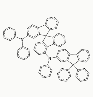 c1ccc(N(c2ccccc2)c2ccc3c(c2)C2(c4ccccc4-3)c3ccccc3-c3c(N(c4ccccc4)c4ccc5c(c4)C(c4ccccc4)(c4ccccc4)c4ccccc4-5)cccc32)cc1